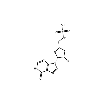 O=c1[nH]cnc2c1ncn2[C@@H]1O[C@H](CNS(=O)(=O)O)C[C@H]1F